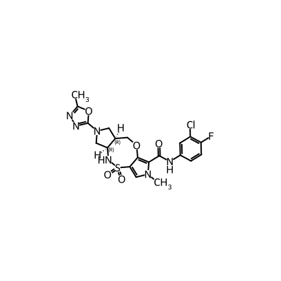 Cc1nnc(N2C[C@H]3COc4c(cn(C)c4C(=O)Nc4ccc(F)c(Cl)c4)S(=O)(=O)N[C@H]3C2)o1